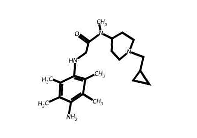 Cc1c(C)c(NCC(=O)N(C)C2CCN(CC3CC3)CC2)c(C)c(C)c1N